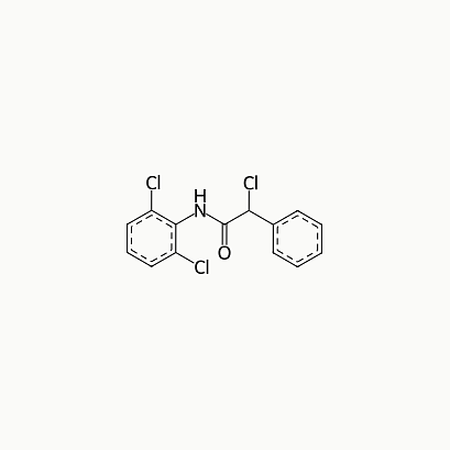 O=C(Nc1c(Cl)cccc1Cl)C(Cl)c1ccccc1